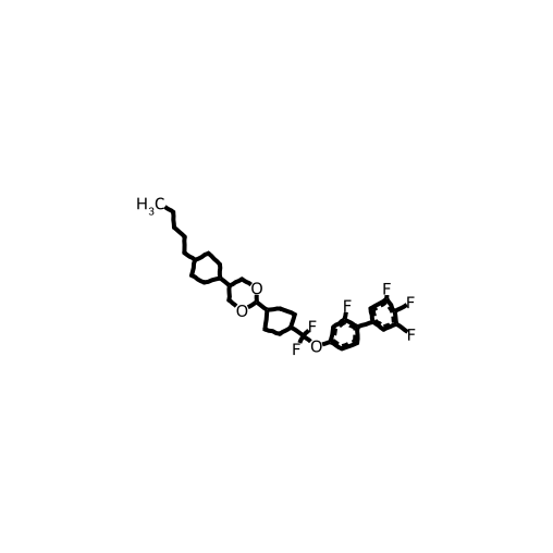 CCCCCC1CCC(C2COC(C3CCC(C(F)(F)Oc4ccc(-c5cc(F)c(F)c(F)c5)c(F)c4)CC3)OC2)CC1